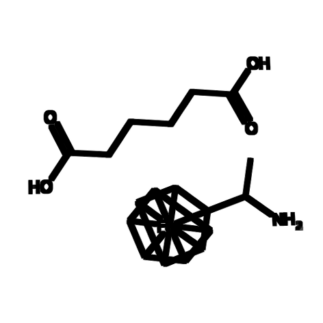 CC(N)[C]12[CH]3[CH]4[CH]5[CH]1[Fe]45321678[CH]2[CH]1[CH]6[CH]7[CH]28.O=C(O)CCCCC(=O)O